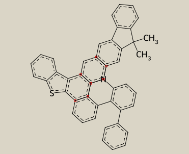 CC1(C)c2ccccc2-c2ccc(N(c3ccc4sc5ccccc5c4c3)c3cccc(-c4ccccc4)c3-c3ccccc3-c3ccccc3)cc21